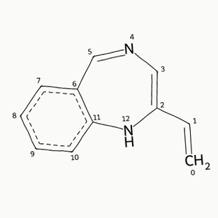 C=CC1=CN=Cc2ccccc2N1